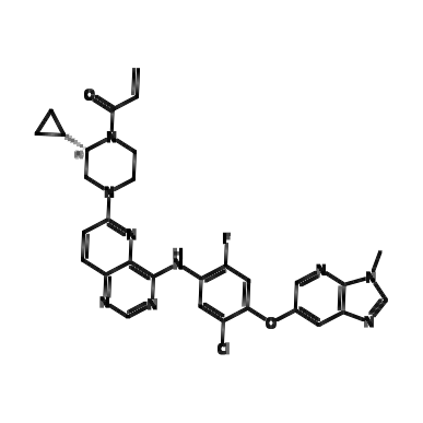 C=CC(=O)N1CCN(c2ccc3ncnc(Nc4cc(Cl)c(Oc5cnc6c(c5)ncn6C)cc4F)c3n2)C[C@@H]1C1CC1